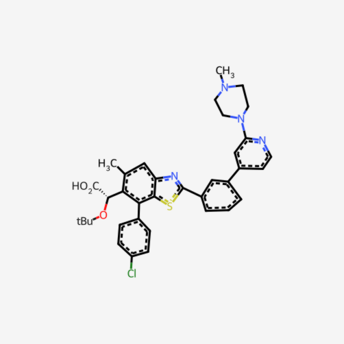 Cc1cc2nc(-c3cccc(-c4ccnc(N5CCN(C)CC5)c4)c3)sc2c(-c2ccc(Cl)cc2)c1[C@H](OC(C)(C)C)C(=O)O